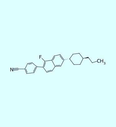 CCC[C@H]1CC[C@H](c2ccc3c(F)c(-c4ccc(C#N)cc4)ccc3c2)CC1